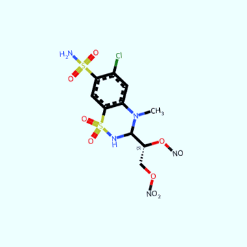 CN1c2cc(Cl)c(S(N)(=O)=O)cc2S(=O)(=O)NC1[C@@H](CO[N+](=O)[O-])ON=O